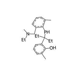 CCN(C)Cc1cccc(C)c1PC(CC)(CC)c1cccc(C)c1O